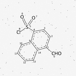 O=Cc1ccc(S(=O)(=O)Cl)c2ccccc12